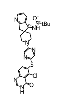 CC(C)(C)[S@@+]([O-])N[C@@H]1c2cccnc2CC12CCN(c1cnc(Sc3ccc4nc[nH]c(=O)c4c3Cl)cn1)CC2